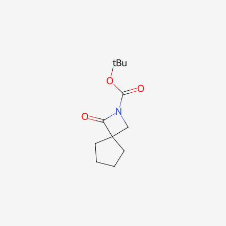 CC(C)(C)OC(=O)N1CC2(CCCC2)C1=O